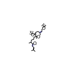 CO/C(=C\C=C(C)C)C(C)CCCC1(C)OC/C(=C/CO[Si](C)(C)C)CC[C@H]1O[Si](C)(C)C